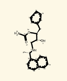 C[C@H](NC[C@@H](O)[C@H](Cc1ccccc1)OC(N)=O)c1cccc2ccccc12